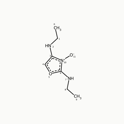 CCNc1coc(NCC)[n+]1[O-]